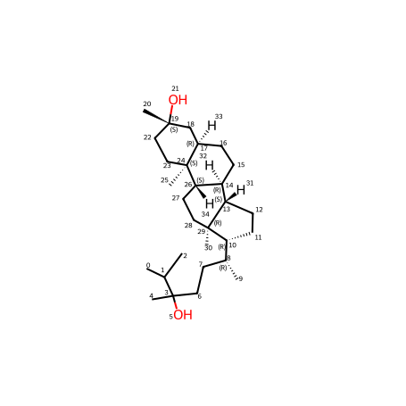 CC(C)C(C)(O)CC[C@@H](C)[C@H]1CC[C@H]2[C@@H]3CC[C@@H]4C[C@@](C)(O)CC[C@]4(C)[C@H]3CC[C@]12C